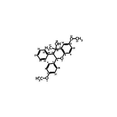 COc1ccc(C2Oc3ccc(OC)cc3C(C)(O)C2c2ccccc2)cc1